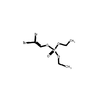 CCOP(=O)(OC=C(Br)Br)OCC